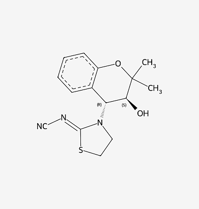 CC1(C)Oc2ccccc2[C@@H](N2CCSC2=NC#N)[C@@H]1O